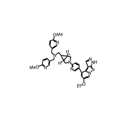 CCOc1cc(-c2ccc(N3C[C@@H]4C(CN(Cc5ccc(OC)nc5)Cc5ccc(OC)nc5)[C@@H]4C3)nc2)c2c3cn[nH]c3nn2c1